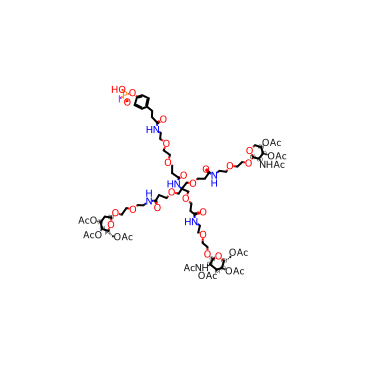 CC(=O)N[C@@H]1[C@H](OCCOCCNC(=O)CCOCC(COCCC(=O)NCCOCCO[C@H]2C[C@@H](OC(C)=O)[C@@H](OC(C)=O)[C@@H](COC(C)=O)O2)(COCCC(=O)NCCOCCO[C@H]2OC[C@@H](OC(C)=O)[C@@H](OC(C)=O)[C@@H]2NC(C)=O)NC(=O)CCOCCOCCNC(=O)CCc2ccc(OP(=O)(O)I)cc2)O[C@H](COC(C)=O)[C@@H](OC(C)=O)[C@H]1OC(C)=O